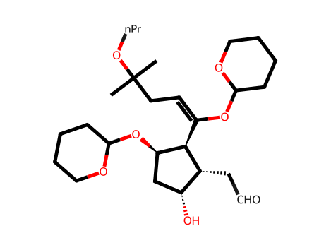 CCCOC(C)(C)CC=C(OC1CCCCO1)[C@H]1[C@H](CC=O)[C@H](O)C[C@H]1OC1CCCCO1